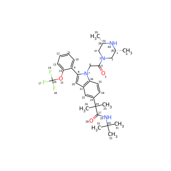 C[C@@H]1CN(C(=O)Cn2c(-c3ccccc3OC(F)(F)F)cc3cc(C(C)(C)C(=O)NC(C)(C)C)ccc32)C[C@H](C)N1